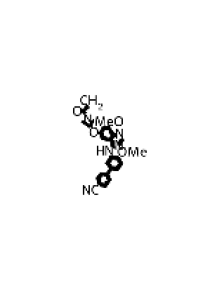 C=CC(=O)N1CC(Oc2cc3c(Nc4cc(-c5ccc(C#N)cc5)ccc4OC)ncnc3cc2OC)C1